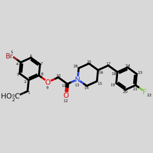 O=C(O)Cc1cc(Br)ccc1OCC(=O)N1CCC(Cc2ccc(F)cc2)CC1